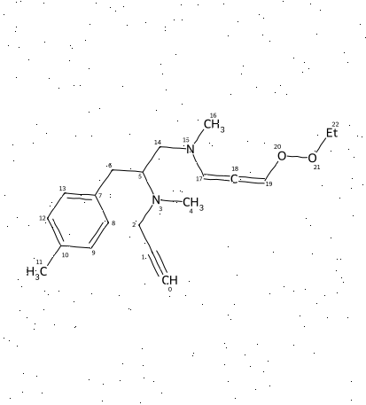 C#CCN(C)C(Cc1ccc(C)cc1)CN(C)C=C=COOCC